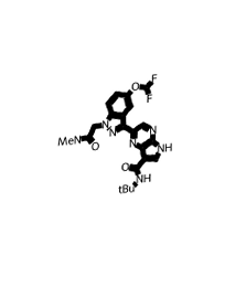 CNC(=O)Cn1nc(-c2cnc3[nH]cc(C(=O)NC(C)(C)C)c3n2)c2cc(OC(F)F)ccc21